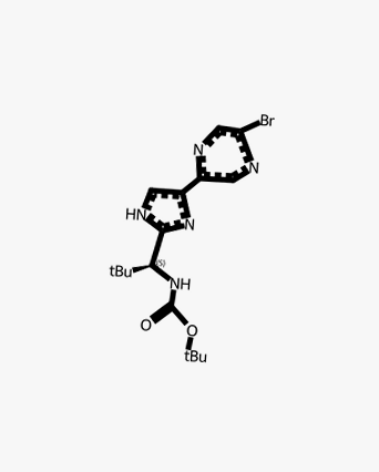 CC(C)(C)OC(=O)N[C@H](c1nc(-c2cnc(Br)cn2)c[nH]1)C(C)(C)C